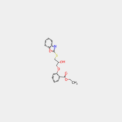 CCOC(=O)c1ccccc1OCC(O)CSc1nc2ccccc2o1